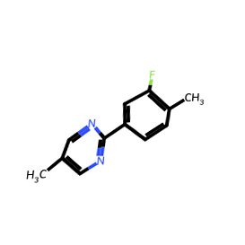 Cc1cnc(-c2ccc(C)c(F)c2)nc1